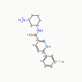 NC1CCCC(NC(=O)c2ccc(-c3cccc(F)c3)nc2)C1